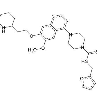 COc1cc2c(N3CCN(C(=S)NCc4ccco4)CC3)ncnc2cc1OCCC1CCCCN1